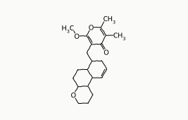 COc1oc(C)c(C)c(=O)c1CC1CC=CC2C1CCC1OCCCC12